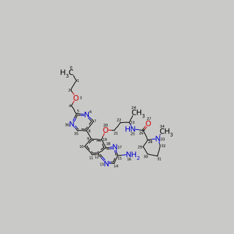 CCCOCc1ncc(-c2ccc3ncc(N)nc3c2OCCC(C)NC(=O)C2CCCCN2C)cn1